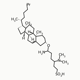 CC(C)CCC[C@@H](C)[C@H]1CC[C@H]2[C@@H]3CC=C4C[C@@H](OC(N)CCC(CCS(=O)(=O)O)N(C)C)CC[C@]4(C)[C@H]3CC[C@]12C